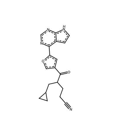 N#CCCC(CC1CC1)C(=O)c1coc(-c2ncnc3[nH]ccc23)c1